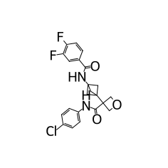 O=C(NC12CC(C3(C(=O)Nc4ccc(Cl)cc4)COC3)(C1)C2)c1ccc(F)c(F)c1